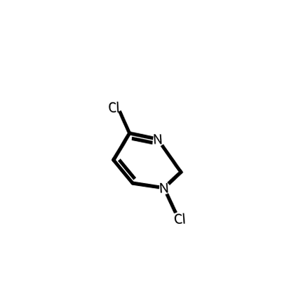 ClC1=NCN(Cl)C=C1